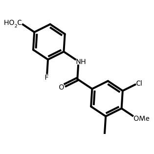 COc1c(C)cc(C(=O)Nc2ccc(C(=O)O)cc2F)cc1Cl